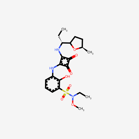 CC[C@@H](Nc1c(Nc2cccc(S(=O)(=O)N(CC)OC)c2O)c(=O)c1=O)C1CC[C@@H](C)O1